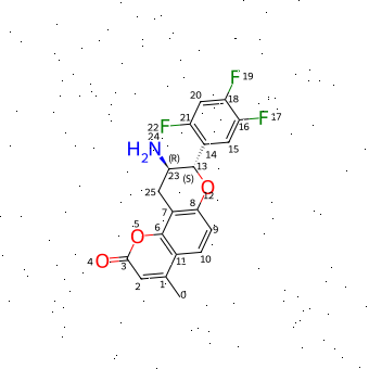 Cc1cc(=O)oc2c3c(ccc12)O[C@@H](c1cc(F)c(F)cc1F)[C@H](N)C3